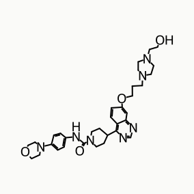 O=C(Nc1ccc(N2CCOCC2)cc1)N1CCC(c2ncnc3cc(OCCCN4CCN(CCO)CC4)ccc23)CC1